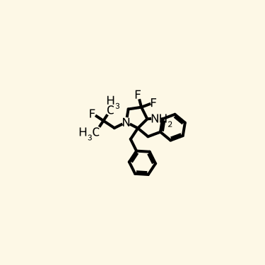 CC(C)(F)CN1CC(F)(F)C(N)C1(Cc1ccccc1)Cc1ccccc1